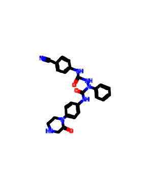 N#Cc1ccc(NC(=O)NN(C(=O)Nc2ccc(N3CCNCC3=O)cc2)c2ccccc2)cc1